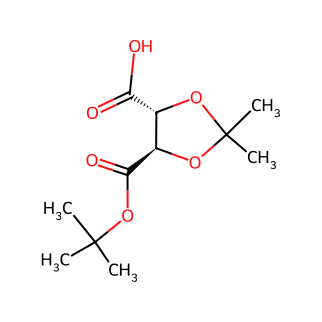 CC(C)(C)OC(=O)[C@@H]1OC(C)(C)O[C@H]1C(=O)O